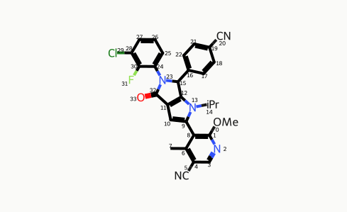 COc1ncc(C#N)c(C)c1-c1cc2c(n1C(C)C)C(c1ccc(C#N)cc1)N(c1cccc(Cl)c1F)C2=O